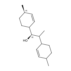 CC1C=CC(C(C)[C@@H](O)C2C=C[C@H](C)CC2)CC1